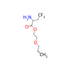 C=CCOCCOC(=O)C(N)CC(F)(F)F